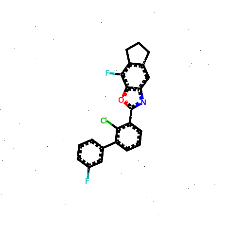 Fc1cccc(-c2cccc(-c3nc4cc5c(c(F)c4o3)CCC5)c2Cl)c1